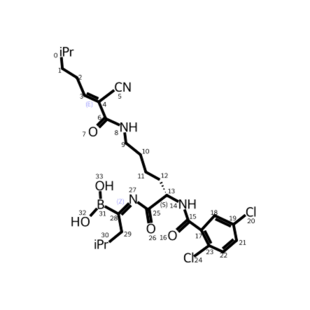 CC(C)CC/C=C(\C#N)C(=O)NCCCC[C@H](NC(=O)c1cc(Cl)ccc1Cl)C(=O)/N=C(\CC(C)C)B(O)O